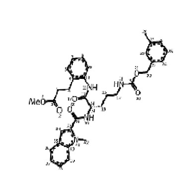 COC(=O)CCc1ccccc1NC(=O)[C@H](CCCNC(=O)OCc1cccc(C)c1)NC(=O)c1cc2ccccc2n1C